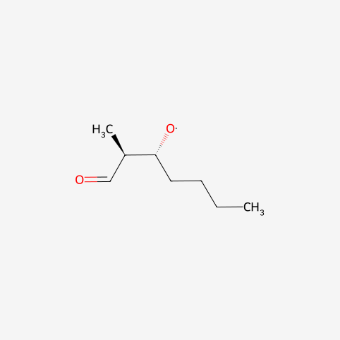 CCCC[C@@H]([O])[C@H](C)C=O